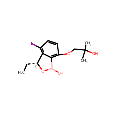 CC[C@H]1OB(O)c2c(OCC(C)(C)O)ccc(I)c21